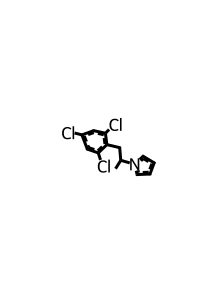 CC(Cc1c(Cl)cc(Cl)cc1Cl)n1cccc1